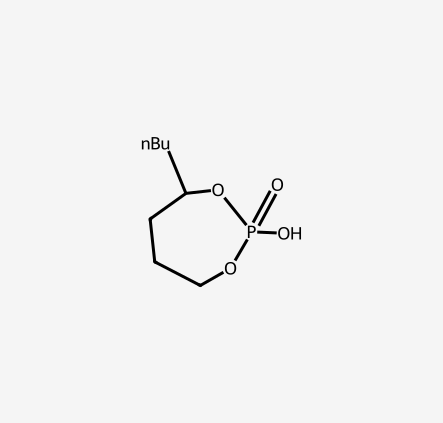 CCCCC1CCCOP(=O)(O)O1